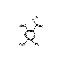 COc1cc(OC)c(C(=O)OBr)cc1C